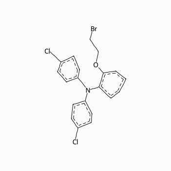 Clc1ccc(N(c2ccc(Cl)cc2)c2ccccc2OCCBr)cc1